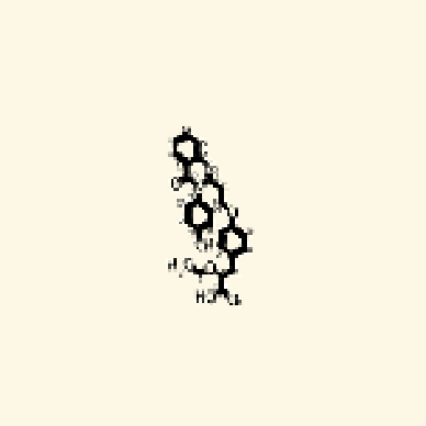 CCOC(Cc1ccc(OCCc2nc3ccccc3c(=O)n2-c2ccc(C)cc2)cc1)C(=O)O